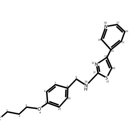 CCCCOc1ccc(CNc2nc(-c3cccnc3)cs2)cc1